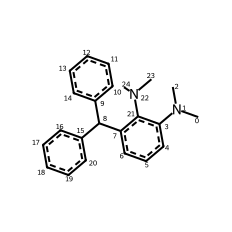 CN(C)c1cccc(C(c2ccccc2)c2ccccc2)c1N(C)C